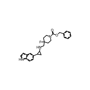 O=C(OCc1ccccc1)N1CCC(F)(CNC2CC2c2ccc3[nH]ccc3c2)CC1